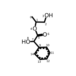 CC(CO)OC(=O)C(O)c1ccccc1